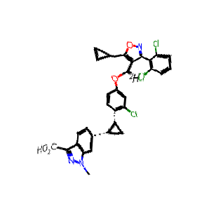 [2H]C(Oc1ccc([C@@H]2C[C@@H]2c2ccc3c(C(=O)O)nn(C)c3c2)c(Cl)c1)c1c(-c2c(Cl)cccc2Cl)noc1C1CC1